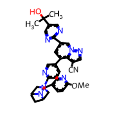 COc1ccc(CN2C3CC2CN(c2ccc(-c4cc(-c5ncc(C(C)(C)O)cn5)cn5ncc(C#N)c45)cn2)C3)cn1